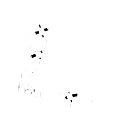 O.O.O.O.O.O.O.O.O=S(=O)([O-])[O-].O=S(=O)([O-])[O-].O=S(=O)([O-])[O-].[Ce+3].[Ce+3]